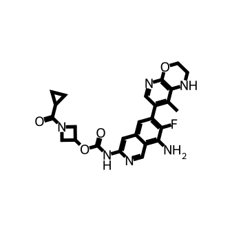 Cc1c(-c2cc3cc(NC(=O)OC4CN(C(=O)C5CC5)C4)ncc3c(N)c2F)cnc2c1NCCO2